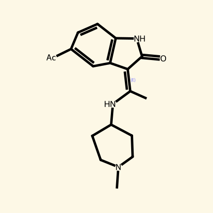 CC(=O)c1ccc2c(c1)/C(=C(/C)NC1CCN(C)CC1)C(=O)N2